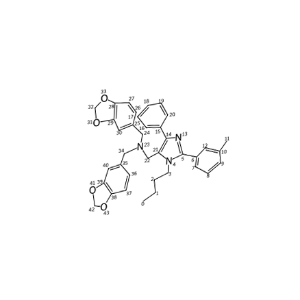 CCCCn1c(-c2cccc(C)c2)nc(-c2ccccc2)c1CN(Cc1ccc2c(c1)OCO2)Cc1ccc2c(c1)OCO2